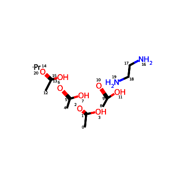 CC(=O)O.CC(=O)O.CC(=O)O.CC(=O)O.NCCN.[Pr]